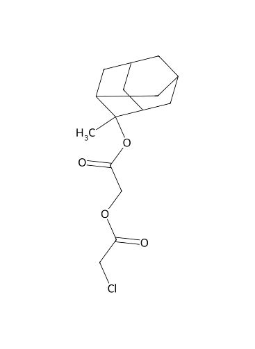 CC1(OC(=O)COC(=O)CCl)C2CC3CC(C2)CC1C3